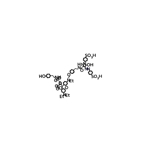 CCN(CC)c1ccc2c(c1)Oc1cc(N(CC)CCOc3ccc(CCNC(=O)c4nn(-c5ccc(S(=O)(=O)O)cc5)c(O)c4/N=N/c4ccc(S(=O)(=O)O)cc4)cc3)ccc1C21OS(=O)(=O)c2cc(S(=O)(=O)NCCc3ccc(O)cc3)ccc21